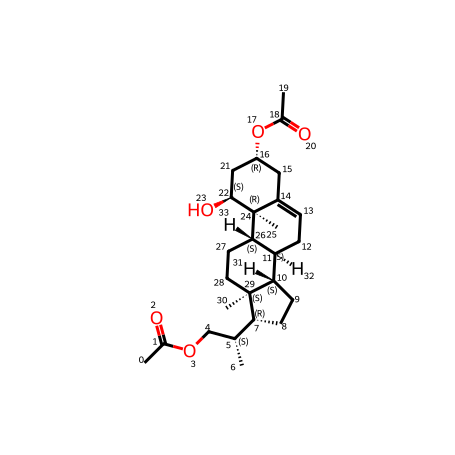 CC(=O)OC[C@@H](C)[C@H]1CC[C@H]2[C@@H]3CC=C4C[C@@H](OC(C)=O)C[C@H](O)[C@]4(C)[C@H]3CC[C@]12C